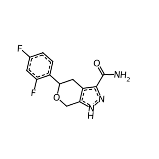 NC(=O)c1n[nH]c2c1CC(c1ccc(F)cc1F)OC2